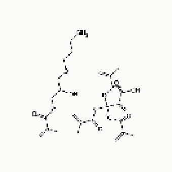 C=C(C)C(=O)OC(OC(=O)C(=C)C)(OC(=O)C(=C)C)C(=C)C(=O)O.C=C(C)C(=O)OCC(O)COCCC[SiH3]